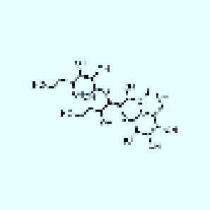 OCCC(O)/C(O)=C(/O)C(O)O/C(=C(/OC1OC(CO)C(O)C(O)C1O)C(O)OI)C(O)CCO